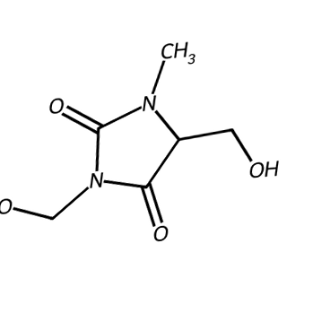 CN1C(=O)N(CO)C(=O)C1CO